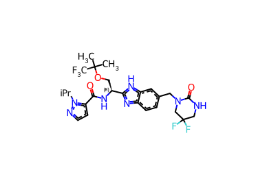 CC(C)n1nccc1C(=O)N[C@@H](COC(C)(C)C(F)(F)F)c1nc2ccc(CN3CC(F)(F)CNC3=O)cc2[nH]1